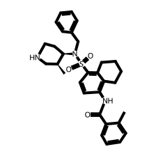 Cc1ccccc1C(=O)Nc1ccc(S(=O)(=O)N(Cc2ccccc2)[C@@H]2CCNC[C@@H]2C)c2c1CCCC2